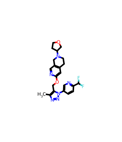 Cc1nnn(-c2ccc(C(F)F)nc2)c1COc1cc2c(cn1)CN(C1CCOC1)CC2